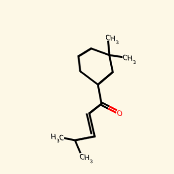 CC(C)C=CC(=O)C1CCCC(C)(C)C1